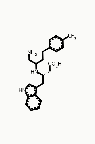 NCC(CCc1ccc(C(F)(F)F)cc1)N[C@H](CC(=O)O)Cc1c[nH]c2ccccc12